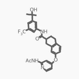 CC(=O)Nc1cc(Oc2ccc3c(c2)CC(C(=O)Nc2cc(C(C)(C)O)cc(C(F)(F)F)c2)CC3)ccn1